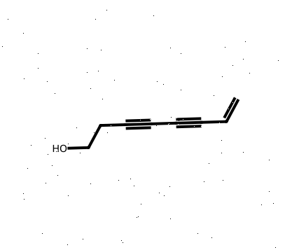 C=CC#CC#CCCO